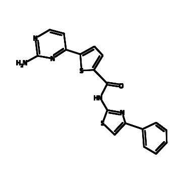 Nc1nccc(-c2ccc(C(=O)Nc3nc(-c4ccccc4)cs3)s2)n1